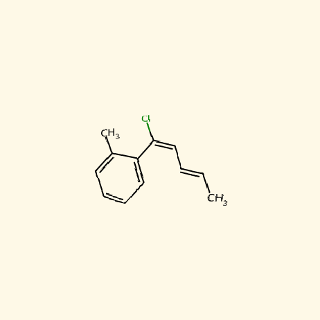 CC=C/C=C(/Cl)c1ccccc1C